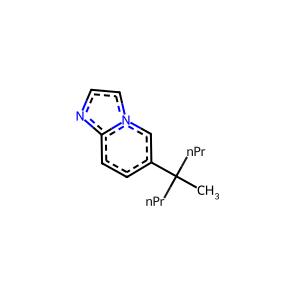 CCCC(C)(CCC)c1ccc2nccn2c1